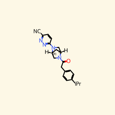 CC(C)c1ccc(CC(=O)N2C[C@H]3C[C@@H]2CN3c2ccc(C#N)nn2)cc1